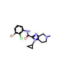 CN1CCc2c(nc(C(=O)Nc3cccc(Br)c3Cl)n2C2CC2)C1